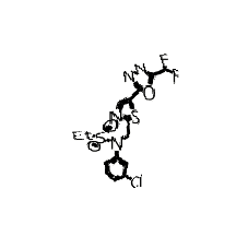 CCS(=O)(=O)N(Cc1ncc(-c2nnc(C(F)F)o2)s1)c1cccc(Cl)c1